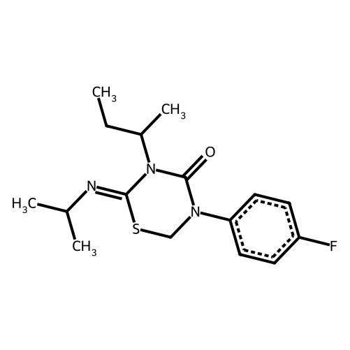 CCC(C)N1C(=O)N(c2ccc(F)cc2)CSC1=NC(C)C